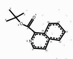 CC(C)(C)OC(=O)c1nccc2ccccc12